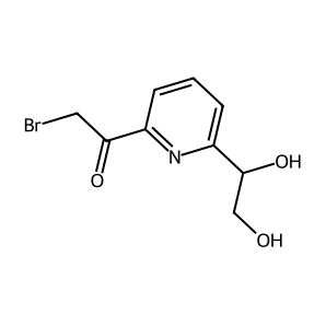 O=C(CBr)c1cccc(C(O)CO)n1